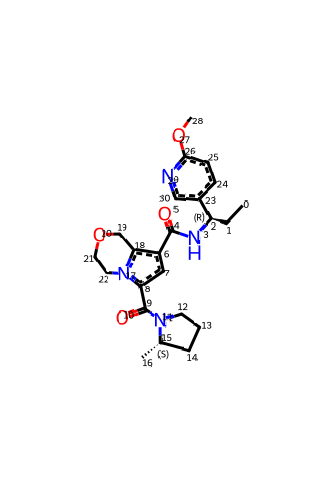 CC[C@@H](NC(=O)c1cc(C(=O)N2CCC[C@@H]2C)n2c1COCC2)c1ccc(OC)nc1